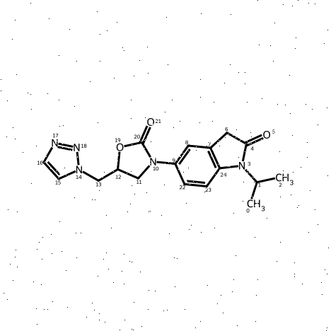 CC(C)N1C(=O)Cc2cc(N3CC(Cn4ccnn4)OC3=O)ccc21